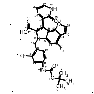 CC(C)(C)OC(=O)Nc1ccc(Cn2c(C(=O)O)c(-c3ccc[nH]c3=O)c3c4occc4c(F)cc32)c(F)c1